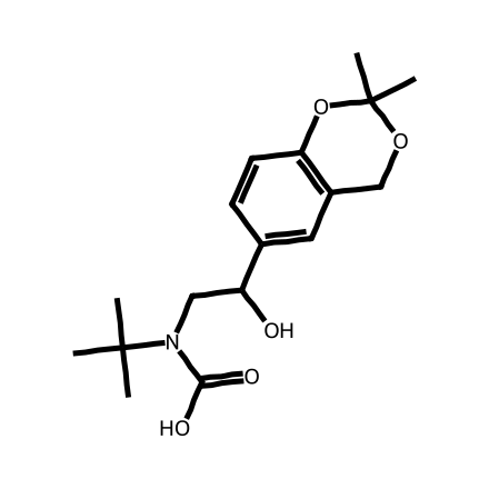 CC1(C)OCc2cc(C(O)CN(C(=O)O)C(C)(C)C)ccc2O1